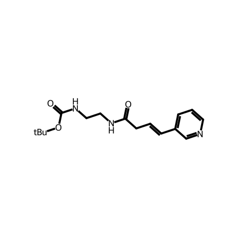 CC(C)(C)OC(=O)NCCNC(=O)CC=Cc1cccnc1